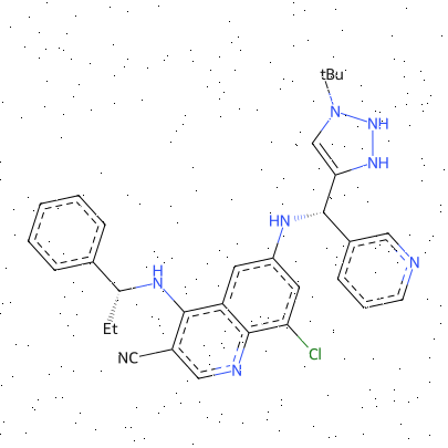 CC[C@@H](Nc1c(C#N)cnc2c(Cl)cc(N[C@H](C3=CN(C(C)(C)C)NN3)c3cccnc3)cc12)c1ccccc1